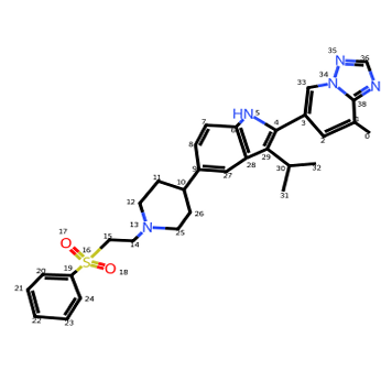 Cc1cc(-c2[nH]c3ccc(C4CCN(CCS(=O)(=O)c5ccccc5)CC4)cc3c2C(C)C)cn2ncnc12